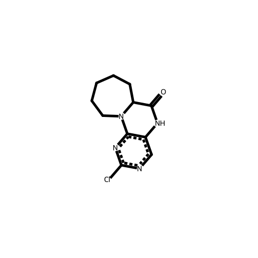 O=C1Nc2cnc(Cl)nc2N2CCCCCC12